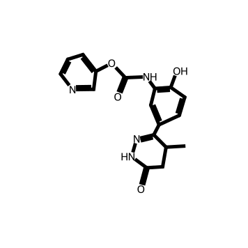 CC1CC(=O)NN=C1c1ccc(O)c(NC(=O)Oc2cccnc2)c1